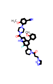 COc1ccccc1-c1cc(C2=CCCN(C(=O)CCn3ccnn3)C2)c(F)c2[nH]c(C(=O)N3CCN(c4cc(C#N)ccc4OC)CC3)cc12